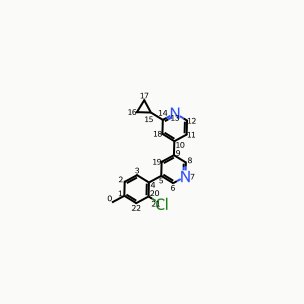 Cc1ccc(-c2cncc(-c3ccnc(C4CC4)c3)c2)c(Cl)c1